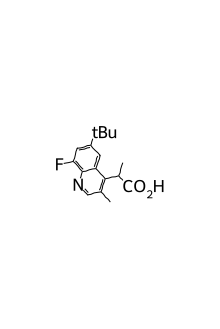 Cc1cnc2c(F)cc(C(C)(C)C)cc2c1C(C)C(=O)O